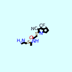 C=C(NC(=O)CSc1nc2c(c(C(F)(F)F)c1C#N)CCC2)S/C=C(/C)N